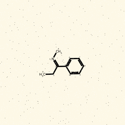 CC/C(=N/C)c1ccccc1